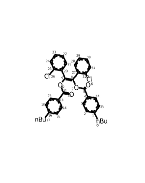 CCCCc1ccc(C(=O)OC(=C(OC(=O)c2ccc(CCCC)cc2)c2ccccc2Cl)c2ccccc2Cl)cc1